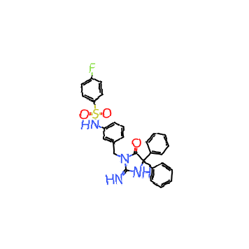 N=C1NC(c2ccccc2)(c2ccccc2)C(=O)N1Cc1cccc(NS(=O)(=O)c2ccc(F)cc2)c1